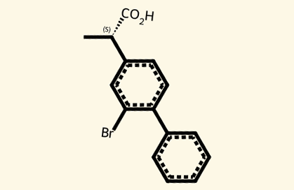 C[C@H](C(=O)O)c1ccc(-c2ccccc2)c(Br)c1